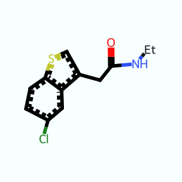 CCNC(=O)Cc1csc2ccc(Cl)cc12